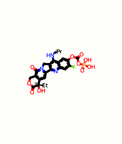 CC[C@@]1(O)C(=O)OCc2c1cc1n(c2=O)Cc2c-1nc1cc(F)c(OC(=O)OP(=O)(O)O)cc1c2NC(C)C